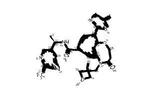 Cc1cnc(-c2cc(C(=O)N[C@H](C)c3cnc(C(F)(F)F)nc3)cc3c2OCC(=O)N3CC2(C)COC2)s1